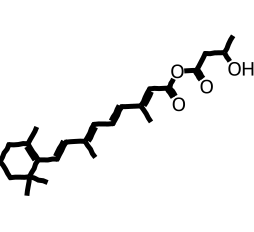 CC1=C(/C=C/C(C)=C/C=C/C(C)=C/C(=O)OC(=O)CC(C)O)C(C)(C)CCC1